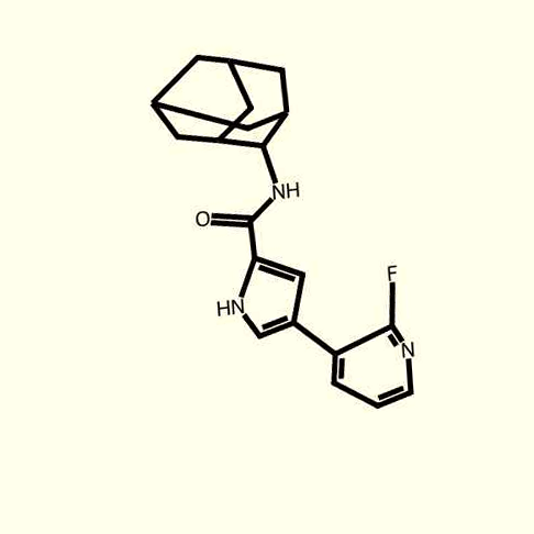 O=C(NC1C2CC3CC(C2)CC1C3)c1cc(-c2cccnc2F)c[nH]1